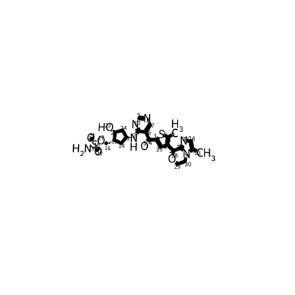 Cc1sc(C(=O)c2cncnc2N[C@@H]2C[C@H](COS(N)(=O)=O)[C@@H](O)C2)cc1C1OCCn2c(C)cnc21